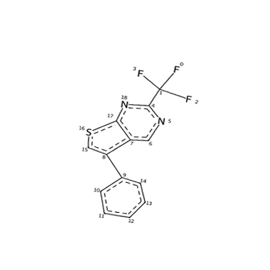 FC(F)(F)c1ncc2c(-c3ccccc3)csc2n1